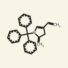 C=CC1=CN(C(c2ccccc2)(c2ccccc2)c2ccccc2)C(=C)C1